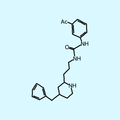 CC(=O)c1cccc(NC(=O)NCCCC2CC(Cc3ccccc3)CCN2)c1